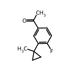 CC(=O)c1ccc(F)c(C2(C)CC2)c1